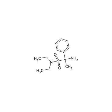 CCN(CC)S(=O)(=O)C(C)(N)c1ccccc1